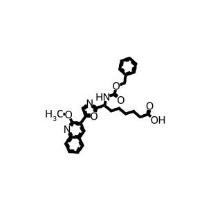 COc1nc2ccccc2cc1-c1cnc(C(CCCCCC(=O)O)NC(=O)OCc2ccccc2)o1